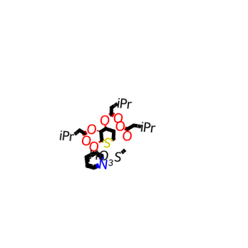 CC(C)CC(=O)O[C@@H]1[C@@H](OC(=O)CC(C)C)[C@H](OC(=O)CC(C)C)CS[C@H]1Oc1cccnc1.CS(=O)(=O)O